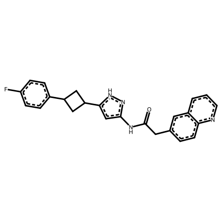 O=C(Cc1ccc2ncccc2c1)Nc1cc(C2CC(c3ccc(F)cc3)C2)[nH]n1